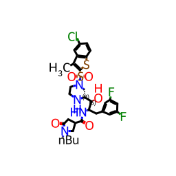 CCCCN1CC(C(=O)NC(Cc2cc(F)cc(F)c2)[C@H](O)[C@H]2CN(S(=O)(=O)c3sc4ccc(Cl)cc4c3C)CCN2)CC1=O